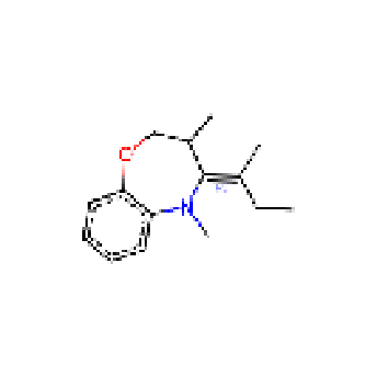 CC/C(C)=C1/C(C)COc2ccccc2N1C